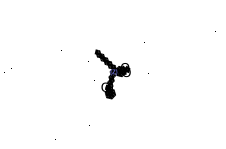 CCCCCCCCCC/C(=C/CCCCCC(=O)N1CCCCC1)c1ccc2c(c1)OCO2